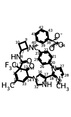 CC1=CC(C(=O)NC2CCC2)(C(F)(F)F)C(=O)C(N2C=C(c3n(-c4ccc(C#N)cc4)cc[n+]3C)NC2)=C1.O=S(=O)([O-])c1ccccc1